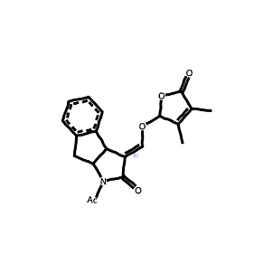 CC(=O)N1C(=O)/C(=C/OC2OC(=O)C(C)=C2C)C2c3ccccc3CC21